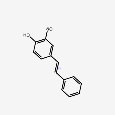 O=Nc1cc(/C=C/c2ccccc2)ccc1O